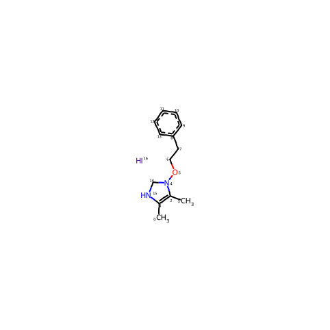 CC1=C(C)N(OCCc2ccccc2)CN1.I